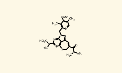 CCCCN(C)C(=O)C1=Cc2nn(Cc3ncc(C)c(OC)c3C)c3nc(N(C(=O)O)C(C)(C)C)nc(c23)SC1